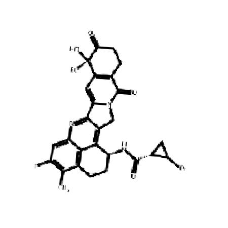 CC[C@@]1(O)C(=O)CCc2c1cc1n(c2=O)Cc2c-1nc1cc(F)c(C)c3c1c2[C@@H](NC(=O)[C@@H]1CC1C(C)C)CC3